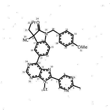 CCn1c(-c2cnc(C)nc2)nc2c(-c3ccc4c(c3)C(C#N)(CC(C)C)C(=O)N4Cc3ccc(OC)cc3)ncnc21